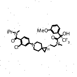 COc1cccc([C@@](O)(C(=O)N(C)CC[C@@H]2CC23CCN(c2ccc(C(=O)N(C)C(C)C)c(Cl)c2)CC3)C(F)(F)F)c1